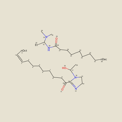 CCCCCCCC/C=C\CCCCCCCC(=O)C1=NCCN1C(C)O.CCCCCCCCCCCCCCCCCC(=O)NC(CC)N(C)C